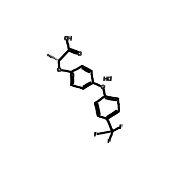 C[C@@H](Oc1ccc(Oc2ccc(C(F)(F)F)cc2)cc1)C(=O)O.Cl